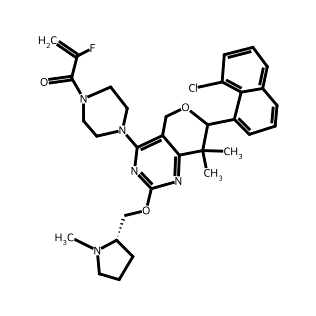 C=C(F)C(=O)N1CCN(c2nc(OC[C@@H]3CCCN3C)nc3c2COC(c2cccc4cccc(Cl)c24)C3(C)C)CC1